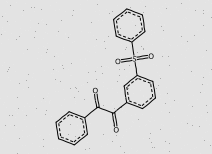 O=C(C(=O)c1cccc(S(=O)(=O)c2ccccc2)c1)c1ccccc1